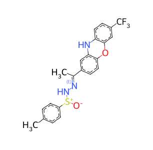 C/C(=N\N[S+]([O-])c1ccc(C)cc1)c1ccc2c(c1)Nc1ccc(C(F)(F)F)cc1O2